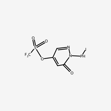 O=c1cc(OS(=O)(=O)C(F)(F)F)cnn1PI